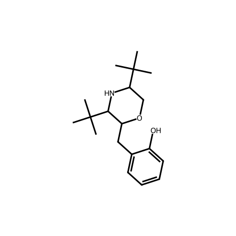 CC(C)(C)C1COC(Cc2ccccc2O)C(C(C)(C)C)N1